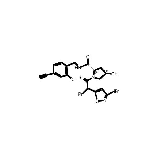 C#Cc1ccc(CNC(=O)[C@@H]2C[C@@H](O)CN2C(=O)C(c2cc(C(C)C)no2)C(C)C)c(Cl)c1